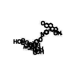 CC#C[C@]1(O)CCC2C3CCC4=CC(=O)CCC4=C3[C@@H](c3ccc(N(C)CCO[C@H]4CC[C@@]5(C)[C@@H](C4)C[C@@H](OP(=O)(O)O)[C@@H]4[C@@H]5C[C@H](O)[C@]5(C)[C@@H]([C@H](C)CCC(=O)O)CC[C@@H]45)cc3)C[C@@]21C